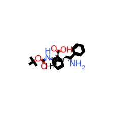 CC(C)(C)OC(=O)N[C@H]1[C@@H](C(=O)O)[C@@]2(C[C@@H](N)c3ccccc3)C=C[C@H]1C2